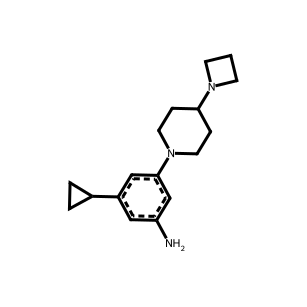 Nc1cc(C2CC2)cc(N2CCC(N3CCC3)CC2)c1